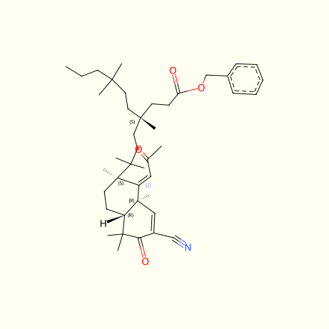 CCCC(C)(C)CC[C@](C)(CCC(=O)OCc1ccccc1)CCC(C)(C)[C@]1(C)CC[C@H]2C(C)(C)C(=O)C(C#N)=C[C@]2(C)/C1=C/C(C)=O